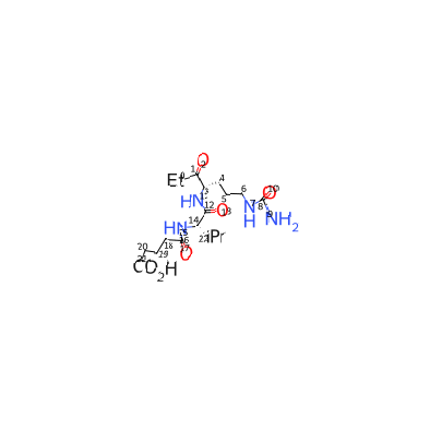 CCC(=O)[C@H](CCCNC(N)=O)NC(=O)[C@@H](NC(=O)CCCC(=O)O)C(C)C